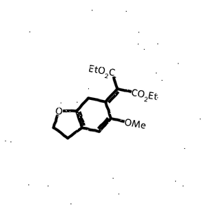 CCOC(=O)C(C(=O)OCC)=C1CC2=C(C=C1OC)CCO2